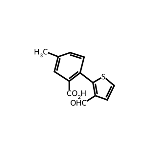 Cc1ccc(-c2sccc2C=O)c(C(=O)O)c1